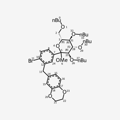 CCCCOC[C@H]1OC(OC)(c2ccc(Br)c(Cc3ccc4c(c3)OCCO4)c2)[C@H](OCCCC)[C@@H](OCCCC)[C@@H]1OCCCC